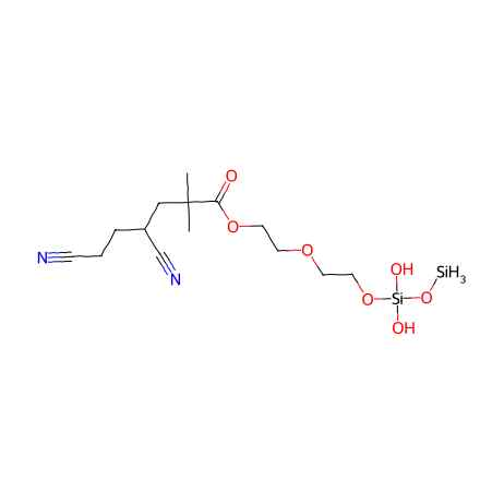 CC(C)(CC(C#N)CCC#N)C(=O)OCCOCCO[Si](O)(O)O[SiH3]